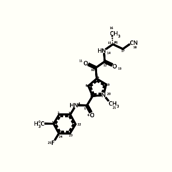 Cc1cc(NC(=O)c2cc(C(=O)C(=O)N[C@H](C)CC#N)cn2C)ccc1F